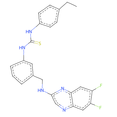 CCc1ccc(NC(=S)Nc2cccc(CNc3cnc4cc(F)c(F)cc4n3)c2)cc1